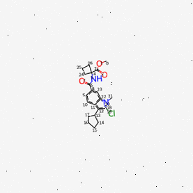 COC(=O)C1(NC(=O)c2ccc3c(C4CCCC4)c(Cl)n(C)c3c2)CCC1